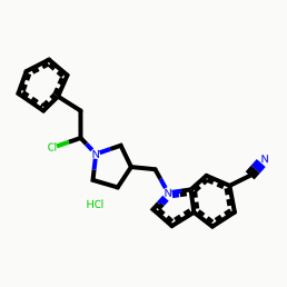 Cl.N#Cc1ccc2ccn(CC3CCN(C(Cl)Cc4ccccc4)C3)c2c1